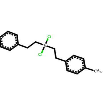 Cc1ccc(CC[Si](Cl)(Cl)CCc2ccccc2)cc1